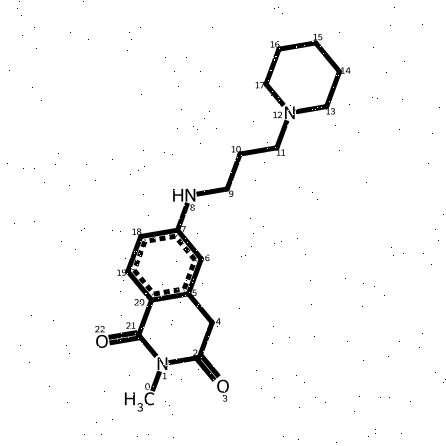 CN1C(=O)Cc2cc(NCCCN3CCCCC3)ccc2C1=O